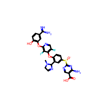 CN1CC=NC1c1cc([S+]([O-])c2ncc(C(=O)O)c(N)n2)ccc1Oc1c(F)cnc(Oc2cc(C(=N)N)ccc2O)c1F